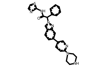 O=C(Nc1nccs1)C(c1ccccc1)n1cc2ccc(-c3ccc(N4CCNCC4)nc3)cc2n1